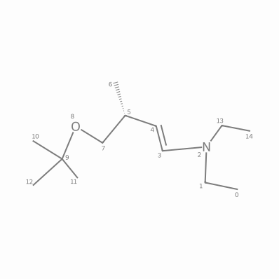 CCN(/C=C/[C@@H](C)COC(C)(C)C)CC